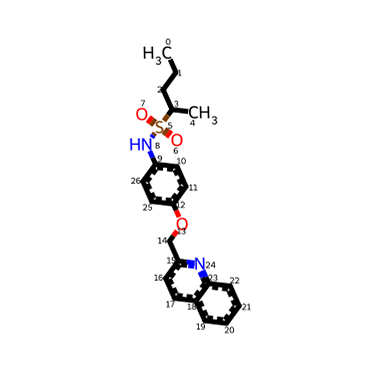 CCCC(C)S(=O)(=O)Nc1ccc(OCc2ccc3ccccc3n2)cc1